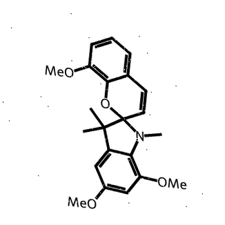 COc1cc(OC)c2c(c1)C(C)(C)C1(C=Cc3cccc(OC)c3O1)N2C